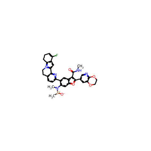 CNC(=O)c1c(-c2cnc3c(c2)OCCO3)oc2cc(N(C)[S+](C)[O-])c(-c3ccc4c(n3)-c3cc5c(n3CC4)CCC=C5F)cc12